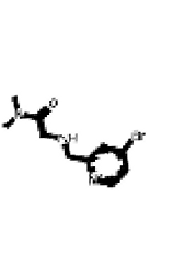 CN(C)C(=O)CNCc1cc(Br)ccn1